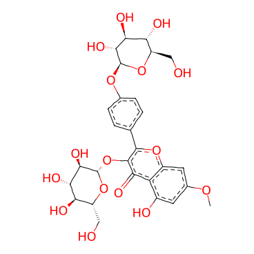 COc1cc(O)c2c(=O)c(O[C@@H]3O[C@H](CO)[C@@H](O)[C@H](O)[C@H]3O)c(-c3ccc(O[C@@H]4O[C@H](CO)[C@@H](O)[C@H](O)[C@H]4O)cc3)oc2c1